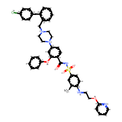 Cc1cc(S(=O)(=O)NC(=O)c2ccc(N3CCN(Cc4ccccc4-c4ccc(Cl)cc4)CC3)cc2Oc2ccccc2)ccc1NCCOc1ccccn1